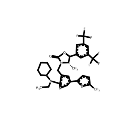 CCN(c1ncc(-c2ccc(C)s2)cc1CN1C(=O)OC(c2cc(C(F)(F)F)cc(C(F)(F)F)c2)[C@@H]1C)C1CCCCC1